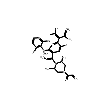 C=CC(=O)N1CC(C)N(/C(=N/C)c2cc(F)c(/C(C(=C)N)=C(/C)F)nc2N(C=O)c2c(C)ccnc2C(C)C)C(C)C1